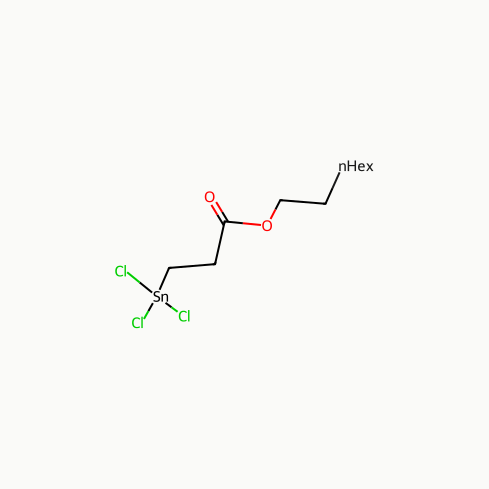 CCCCCCCCOC(=O)C[CH2][Sn]([Cl])([Cl])[Cl]